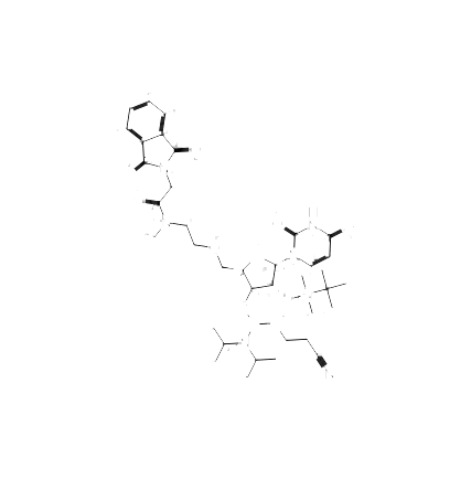 CC(C)N(C(C)C)P(OCCC#N)OC1[C@@H](O[Si](C)(C)C(C)(C)C)[C@H](n2ccc(=O)[nH]c2=O)O[C@@H]1COCCN(C)C(=O)CN1C(=O)c2ccccc2C1=O